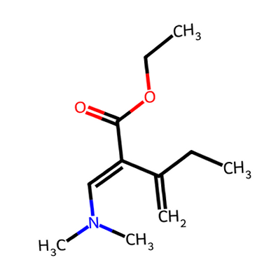 C=C(CC)/C(=C\N(C)C)C(=O)OCC